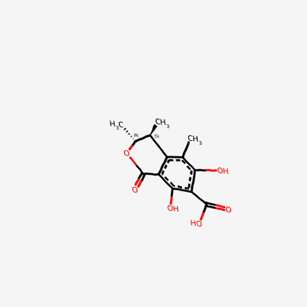 Cc1c(O)c(C(=O)O)c(O)c2c1[C@H](C)[C@@H](C)OC2=O